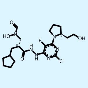 O=CN(O)C[C@@H](CC1CCCC1)C(=O)NNc1nc(Cl)nc(N2CCC[C@H]2CCO)c1F